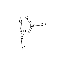 [O]=[AlH].[O]=[La](=[O])=[O].[O]=[Zr]